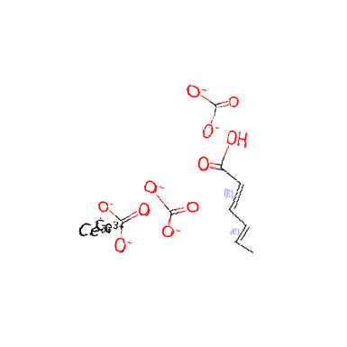 C/C=C/C=C/C(=O)O.O=C([O-])[O-].O=C([O-])[O-].O=C([O-])[O-].[Ce+3].[Ce+3]